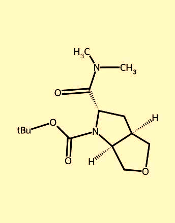 CN(C)C(=O)[C@@H]1C[C@H]2COC[C@H]2N1C(=O)OC(C)(C)C